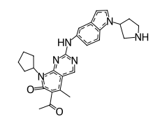 CC(=O)c1c(C)c2cnc(Nc3ccc4c(ccn4C4CCNC4)c3)nc2n(C2CCCC2)c1=O